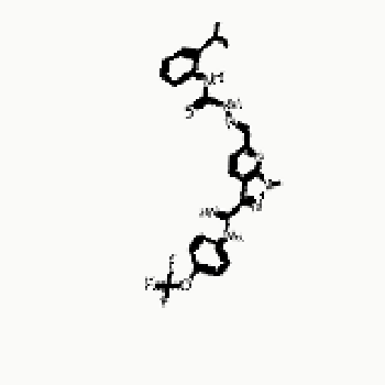 CC(C)c1ccccc1NC(=S)N/N=C/c1ccc2c(C(=N)Nc3ccc(OC(F)(F)F)cc3)nn(C)c2n1